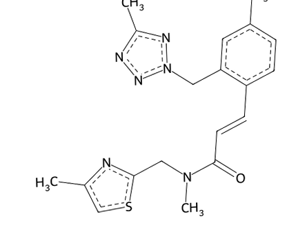 Cc1csc(CN(C)C(=O)C=Cc2ccc(C(F)(F)F)cc2Cn2nnc(C)n2)n1